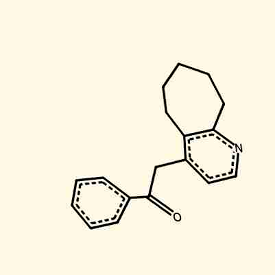 O=C(Cc1ccnc2c1CCCCC2)c1ccccc1